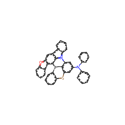 c1ccc(N(c2ccccc2)c2cc3c4c(c2)-n2c5ccccc5c5cc6oc7ccccc7c6c(c52)B4c2ccccc2S3)cc1